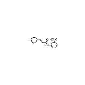 Cc1ccc(/C=C/C(=O)Nc2ccccc2C(=O)O)cn1